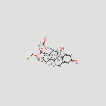 CCC(=O)O[C@@]1(C(=O)OCF)[C@@H](C)C[C@H]2[C@@H]3CCC4=CC(=O)C=C[C@]4(C)[C@H]3[C@@H](O)C[C@@]21C